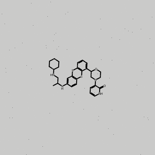 CC(CNC1CCCCC1)Nc1ccc2c(c1)Sc1cccc(C3CN(c4ccc[nH]c4=O)CCO3)c1S2